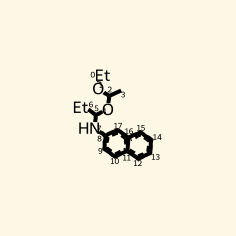 CCOC(C)OC(CC)Nc1ccc2ccccc2c1